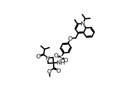 COC(=O)C1(NS(=O)(=O)c2ccc(OCC3=C4C=CC=CC4N(C(C)C)C(C)=C3)cc2)CN(C(=O)C(C)C)C1